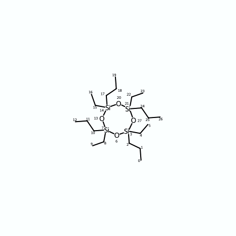 CCC[Si]1(CC)O[Si](CC)(CCC)O[Si](CC)(CCC)O[Si](CC)(CCC)O1